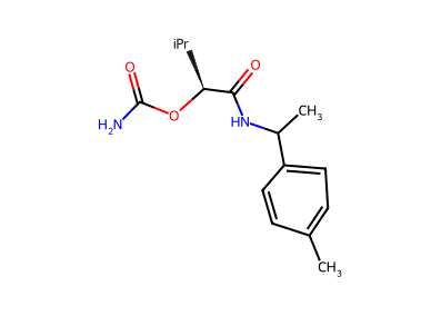 Cc1ccc(C(C)NC(=O)[C@@H](OC(N)=O)C(C)C)cc1